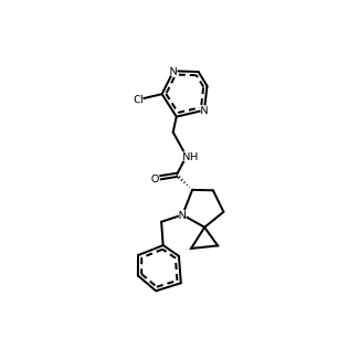 O=C(NCc1nccnc1Cl)[C@@H]1CCC2(CC2)N1Cc1ccccc1